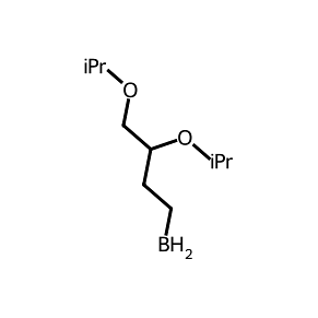 BCCC(COC(C)C)OC(C)C